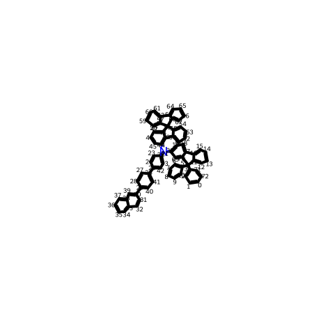 c1ccc(C2(c3ccccc3)c3ccccc3-c3ccc(N(c4ccc(-c5ccc(-c6ccc7ccccc7c6)cc5)cc4)c4cccc5c4-c4ccccc4C54c5ccccc5-c5ccccc54)cc32)cc1